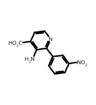 Nc1c(C(=O)O)ccnc1-c1cccc([N+](=O)[O-])c1